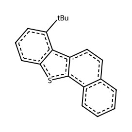 CC(C)(C)c1cccc2sc3c4ccccc4ccc3c12